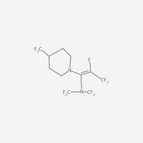 F/C(=C(\N1CCC(C(F)(F)F)CC1)N(C(F)(F)F)C(F)(F)F)C(F)(F)F